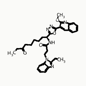 CCC(=O)CCCCCC(NC(=O)CCn1c(CC)nc2ccccc21)c1nnc(-c2cc3ccccc3nc2OC)o1